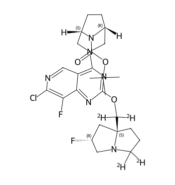 [2H]C1([2H])CC[C@@]2(C([2H])([2H])Oc3nc(N4C[C@H]5CC[C@@H](C4)N5C(=O)OC(C)(C)C)c4cnc(Cl)c(F)c4n3)C[C@@H](F)CN12